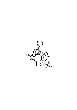 CC[Si](CC)(CC)O[C@H]1C[C@H]2CC[C@@]2(OC(C)=O)[C@H]2[C@H](OC(=O)c3ccccc3)[C@]3(O)C[C@H](O)C(C)=C(C(=O)C(=O)[C@]12C)C3(C)C